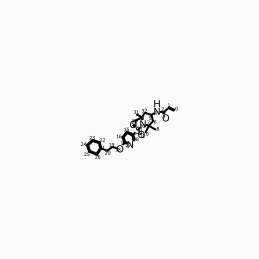 C=CC(=O)NC1CC(C)(C)N(S(=O)(=O)c2ccc(OCCc3ccccc3)nc2)C(C)(C)C1